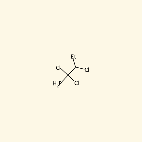 CCC(Cl)C(P)(Cl)Cl